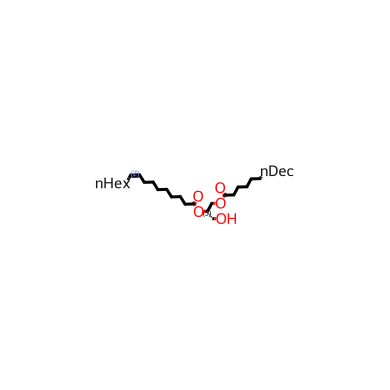 CCCCCC/C=C\CCCCCCCC(=O)O[C@@H](CO)COC(=O)CCCCCCCCCCCCCCC